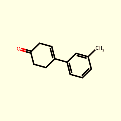 Cc1cccc(C2=CCC(=O)CC2)c1